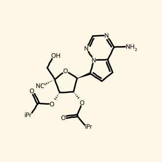 CC(C)C(=O)O[C@H]1[C@H](c2ccc3c(N)ncnn23)O[C@](C#N)(CO)[C@H]1OC(=O)C(C)C